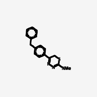 CNC1=NN=C(c2ccc(Cc3ccccc3)cc2)CS1